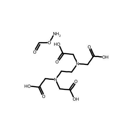 NOC=O.O=C(O)CN(CCN(CC(=O)O)CC(=O)O)CC(=O)O